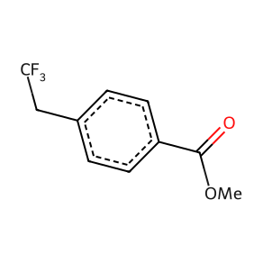 COC(=O)c1ccc(CC(F)(F)F)cc1